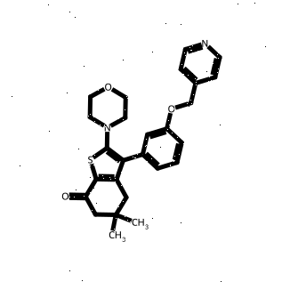 CC1(C)CC(=O)c2sc(N3CCOCC3)c(-c3cccc(OCc4ccncc4)c3)c2C1